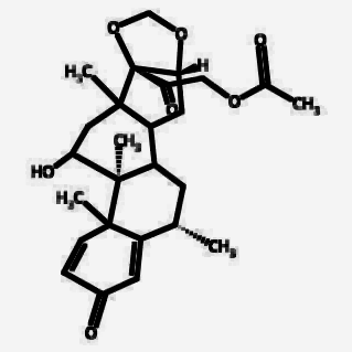 CC(=O)OCC(=O)[C@@]12OCO[C@@H]1CC1C3C[C@H](C)C4=CC(=O)C=CC4(C)[C@@]3(C)C(O)CC12C